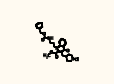 COC(=O)c1c(CC2CCN(Cl)CC2)c(=O)c2ccccc2n1CCCNC(=O)OCc1ccccc1